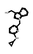 OCc1cn(Cc2cccc(NC3CC3)n2)c2ccccc12